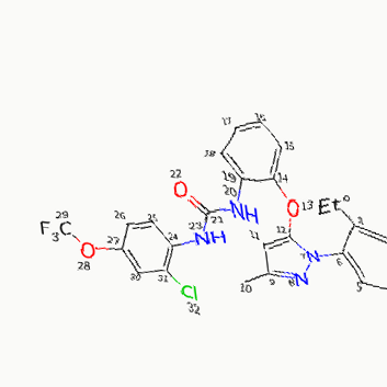 CCc1ccccc1-n1nc(C)cc1Oc1ccccc1NC(=O)Nc1ccc(OC(F)(F)F)cc1Cl